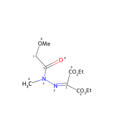 CCOC(=O)C(=NN(C)C(=O)COC)C(=O)OCC